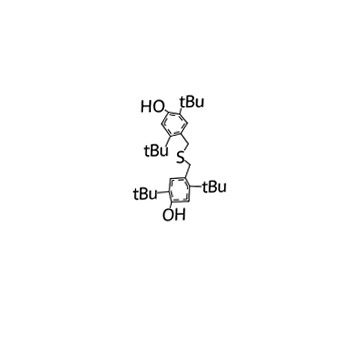 CC(C)(C)c1cc(CSCc2cc(C(C)(C)C)c(O)cc2C(C)(C)C)c(C(C)(C)C)cc1O